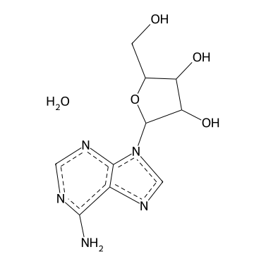 Nc1ncnc2c1ncn2C1OC(CO)C(O)C1O.O